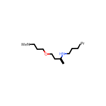 C=C(CCOCCCNC)NCCCC(C)C